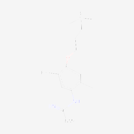 CNC(=N)Nc1cc(C(F)(F)F)c(OCCC[Si](C)(C)C)cc1C